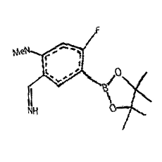 CNc1cc(F)c(B2OC(C)(C)C(C)(C)O2)cc1C=N